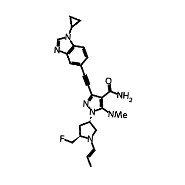 CC=CN1C[C@@H](n2nc(C#Cc3ccc4c(c3)ncn4C3CC3)c(C(N)=O)c2NC)C[C@@H]1CF